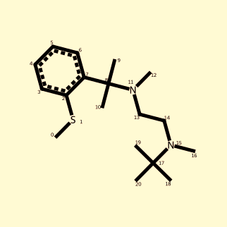 CSc1ccccc1C(C)(C)N(C)CCN(C)C(C)(C)C